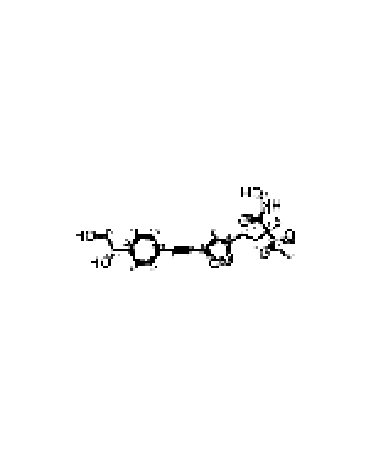 C[C@@](CCc1cc(C#Cc2ccc([C@H](O)CO)cc2)on1)(C(=O)NO)S(C)(=O)=O